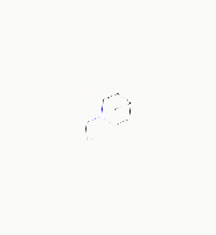 CCCCCC[N+]12CCC(CC1)CC2.[OH-]